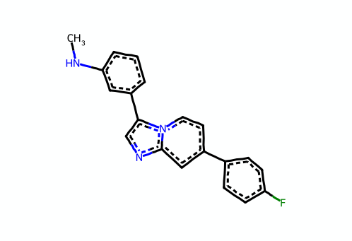 CNc1cccc(-c2cnc3cc(-c4ccc(F)cc4)ccn23)c1